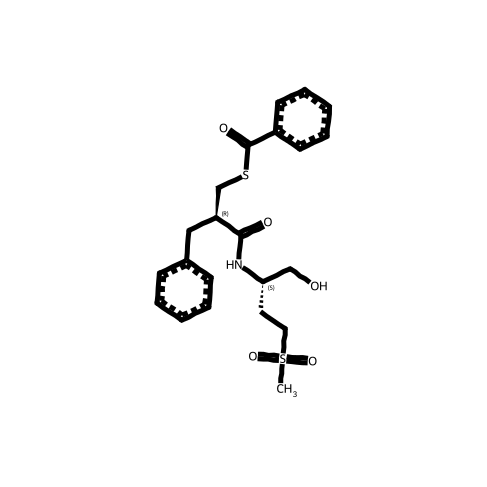 CS(=O)(=O)CC[C@@H](CO)NC(=O)[C@H](CSC(=O)c1ccccc1)Cc1ccccc1